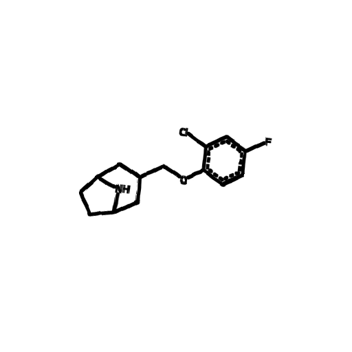 Fc1ccc(OCC2CC3CCC(C2)N3)c(Cl)c1